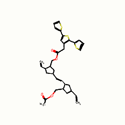 C=CC1CC(/C=C/C2CC(C=C)C(COC(=O)Cc3cc(-c4cccs4)sc3-c3cccs3)C2)C(COC(C)=O)C1